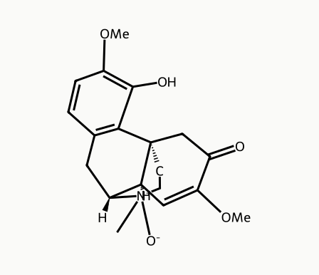 COC1=C[C@H]2[C@H]3Cc4ccc(OC)c(O)c4[C@@]2(CC[N+]3(C)[O-])CC1=O